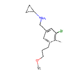 CCOCCCc1cc(CNC2CC2)cc(Br)c1C